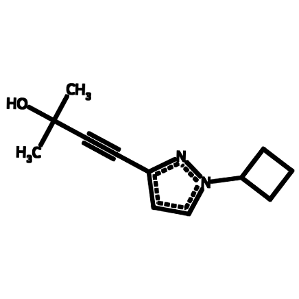 CC(C)(O)C#Cc1ccn(C2CCC2)n1